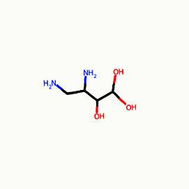 NCC(N)C(O)C(O)O